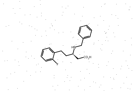 O=C(O)C[C@@H](CCc1ccccc1F)NCc1ccccc1